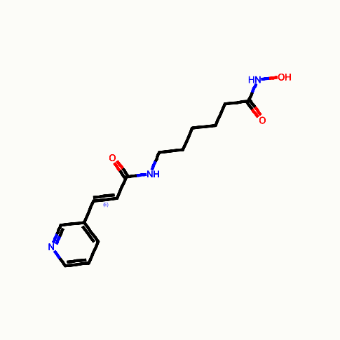 O=C(/C=C/c1cccnc1)NCCCCCC(=O)NO